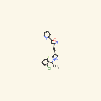 CC(c1c(F)cccc1Cl)n1cc(C#Cc2cc(-c3ccccn3)on2)cn1